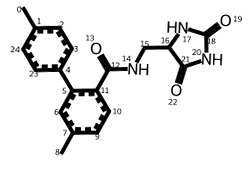 Cc1ccc(-c2cc(C)ccc2C(=O)NCC2NC(=O)NC2=O)cc1